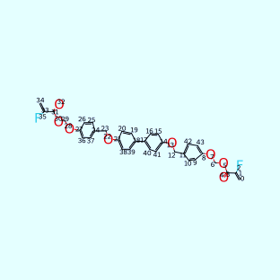 C=C(F)C(=O)OCOc1ccc(COc2ccc(-c3ccc(OCc4ccc(OCOC(=O)C(=C)F)cc4)cc3)cc2)cc1